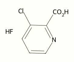 F.O=C(O)c1ncccc1Cl